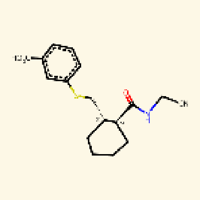 N#CCNC(=O)[C@H]1CCCC[C@@H]1CSc1cccc(C(=O)O)c1